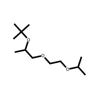 CC(C)OCCOCC(C)OC(C)(C)C